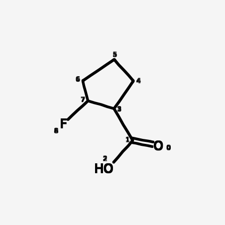 O=C(O)C1CCCC1F